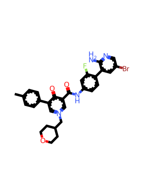 Cc1ccc(-c2cn(CC3CCOCC3)cc(C(=O)Nc3ccc(-c4cc(Br)cnc4N)c(F)c3)c2=O)cc1